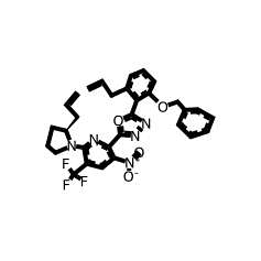 C=CCc1cccc(OCc2ccccc2)c1-c1nnc(-c2nc(N3CCC[C@H]3CC=C)c(C(F)(F)F)cc2[N+](=O)[O-])o1